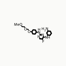 COCCOCOc1ccc(Nc2ncc(F)c(Nc3cccc(N)c3)n2)cc1